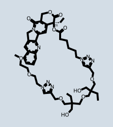 CCC(CO)(COCc1cn(CCCCCC(=O)O[C@]2(CC)C(=O)OCc3c2cc2n(c3=O)Cc3cc4ccccc4nc3-2)nn1)COCC(CC)(CO)COCc1cn(CCOCCOC)nn1